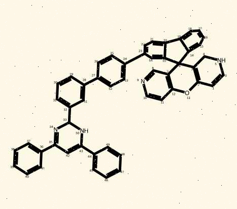 C1=CC2=C(CN1)C1(c3cnccc3O2)c2ccccc2-c2ccc(-c3ccc(-c4cccc(C5N=C(c6ccccc6)C=C(c6ccccc6)N5)c4)cc3)cc21